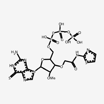 COC1C(OCC(=O)Nc2nccs2)C(COP(=O)(O)OP(=O)(O)OP(=O)(O)O)OC1n1cnc2c(=S)[nH]c(N)nc21